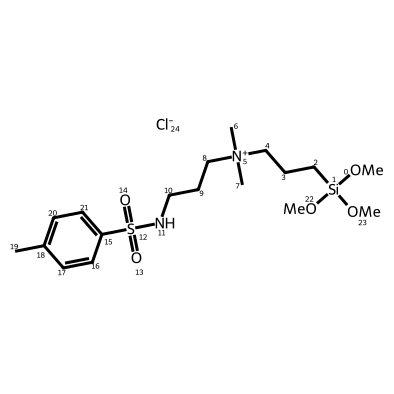 CO[Si](CCC[N+](C)(C)CCCNS(=O)(=O)c1ccc(C)cc1)(OC)OC.[Cl-]